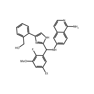 CCc1cc(OC)c(F)c(C(Nc2ccc3c(N)nccc3c2)c2nc(-c3ccccc3CO)c[nH]2)c1